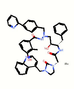 CC[C@H](C)[C@@H](C(=O)N[C@@H](Cc1ccccc1)[C@@H](O)CN(Cc1ccc(-c2ccccn2)cc1)NC(=O)c1cccc(O)c1C)N1CCN(Cc2ccnc3ccccc23)C1=O